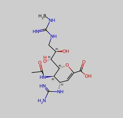 BNC(=N)NC[C@@H](O)[C@@H](O)[C@@H]1OC(C(=O)O)=C[C@H](NC(=N)N)[C@H]1NC(C)=O